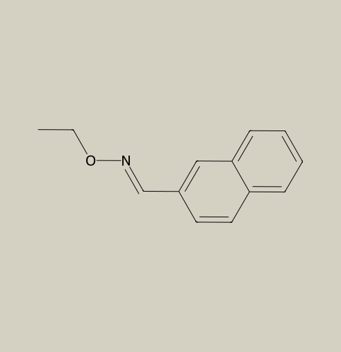 CCON=Cc1ccc2ccccc2c1